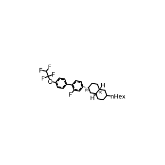 CCCCCCC1CC[C@@H]2C[C@H](c3ccc(-c4ccc(OC(F)(F)C(F)F)cc4)c(F)c3)CC[C@@H]2C1